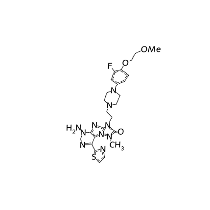 COCCOc1ccc(N2CCN(CCn3c(=O)n(C)n4c5c(nc34)N(N)CN=C5c3nccs3)CC2)cc1F